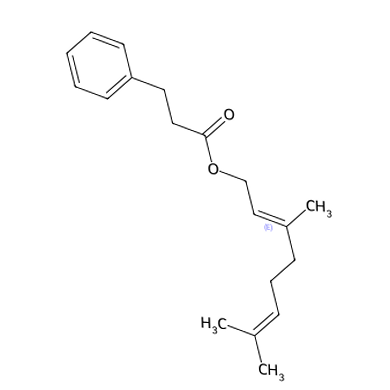 CC(C)=CCC/C(C)=C/COC(=O)CCc1ccccc1